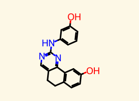 Oc1cccc(Nc2ncc3c(n2)-c2cc(O)ccc2CC3)c1